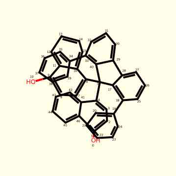 Oc1ccc(C2(c3ccc(O)c4ccccc34)c3c(-c4ccccc4)cccc3-c3cccc(-c4ccccc4)c32)c2ccccc12